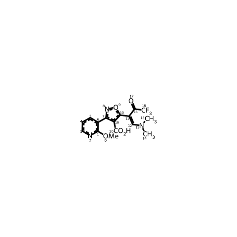 COc1ncccc1-c1noc(C(=CN(C)C)C(=O)C(F)(F)F)c1C(=O)O